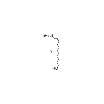 CCCCCCCC/C=C\CCCCCCCCO.[Y]